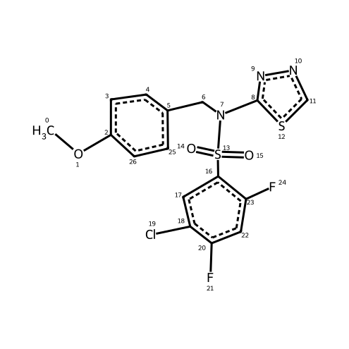 COc1ccc(CN(c2nncs2)S(=O)(=O)c2cc(Cl)c(F)cc2F)cc1